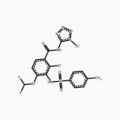 CCn1nnnc1NC(=O)c1ccc(OC(F)F)c(NS(=O)(=O)c2ccc(C)cc2)c1Cl